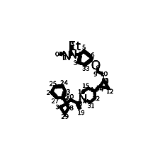 C=NN(CC)c1ccc(OCC[C@@H]2C[C@@H]2C2CCN(C(=C)CC3(c4ccccc4)CCC3)CC2)cc1